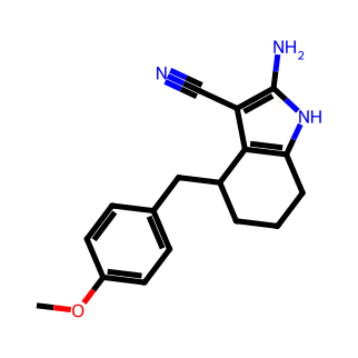 COc1ccc(CC2CCCc3[nH]c(N)c(C#N)c32)cc1